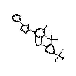 Cc1cc(-n2ccc(-n3cccn3)n2)c2c(n1)N(c1ccc(C(F)(F)F)cc1C(F)(F)F)CC2